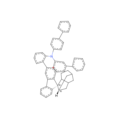 c1ccc(-c2ccc(N(c3cccc(-c4ccccc4)c3)c3ccccc3-c3ccc4c(c3)-c3ccccc3[C@@]43C4CCC5CC4C[C@H]3C5)cc2)cc1